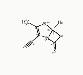 CC1=C(C#N)N2C(=S)C[C@@H]2S1